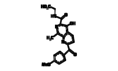 COc1ccc(C(=O)c2ccc3c(O)c(C(=O)NCC(=O)O)nc(C)c3n2)cc1